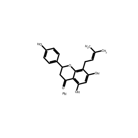 CC(C)=CCc1c(O)cc(O)c2c1OC(c1ccc(O)cc1)CC2=O.[Pb]